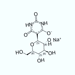 O=c1[nH]c([O-])c([C@@H]2O[C@H](CO)[C@@H](O)[C@H](O)[C@H]2O)c(=O)[nH]1.[Na+]